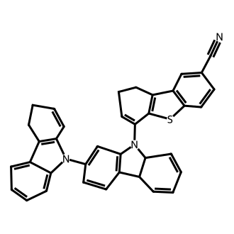 N#Cc1ccc2sc3c(c2c1)CCC=C3N1c2cc(-n3c4c(c5ccccc53)CCC=C4)ccc2C2C=CC=CC21